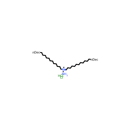 CCCCCCCCCCCCCCCCCCCCCC[N+](C)(C)CCCCCCCCCCCCCCCCCCCCCC.Cl.N.[Cl-]